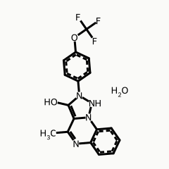 CC1=Nc2ccccc2N2NN(c3ccc(OC(F)(F)F)cc3)C(O)=C12.O